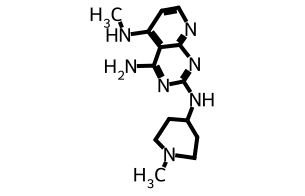 CNc1ccnc2nc(NC3CCN(C)CC3)nc(N)c12